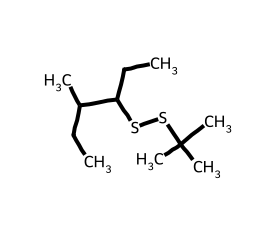 CCC(C)C(CC)SSC(C)(C)C